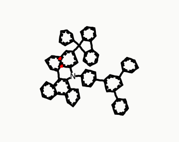 c1ccc(-c2cc(-c3ccccc3)cc(-c3ccc(N(c4cccc(C5(c6ccccc6)c6ccccc6-c6ccccc65)c4)c4c(-c5ccccc5)c5ccccc5c5ccccc45)cc3)c2)cc1